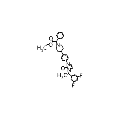 CCOC(=O)C(c1ccccc1)N1CCC(c2ccc(-n3ccn(C(C)c4cc(F)cc(F)c4)c3=O)cc2)CC1